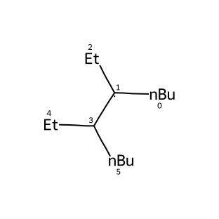 CCCC[C](CC)C(CC)CCCC